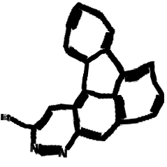 CCc1cc2c3c4c(cccc4cc2nn1)-c1ccccc1-3